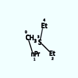 CCCC.CCSCC